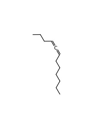 CCCC=C=CCCCCCC